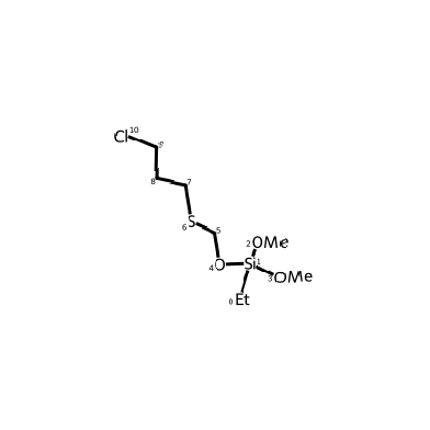 CC[Si](OC)(OC)OCSCCCCl